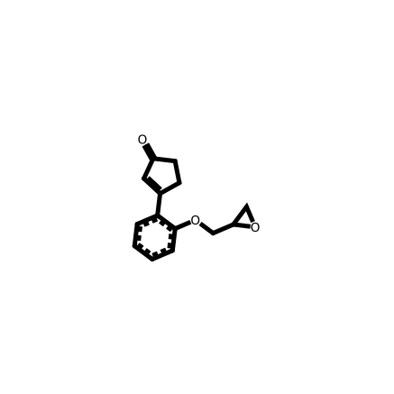 O=C1C=C(c2ccccc2OCC2CO2)CC1